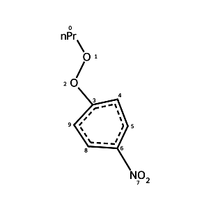 CCCOOc1ccc([N+](=O)[O-])cc1